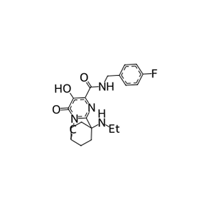 [CH2]CNC12CCC(CC1)Cn1c2nc(C(=O)NCc2ccc(F)cc2)c(O)c1=O